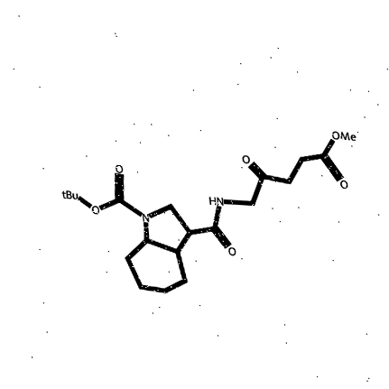 COC(=O)CCC(=O)CNC(=O)C1CN(C(=O)OC(C)(C)C)C2CCCCC12